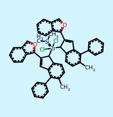 Cc1ccc2c(c1-c1ccccc1)C=C(c1occ3ccccc13)[CH]2[Zr]([Cl])([Cl])([CH]1C(c2occ3ccccc23)=Cc2c1ccc(C)c2-c1ccccc1)=[Si](C)C